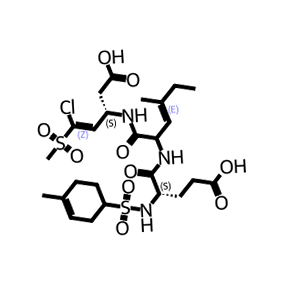 CC/C(C)=C/C(NC(=O)[C@H](CCC(=O)O)NS(=O)(=O)C1CC=C(C)CC1)C(=O)N[C@H](/C=C(\Cl)S(C)(=O)=O)CC(=O)O